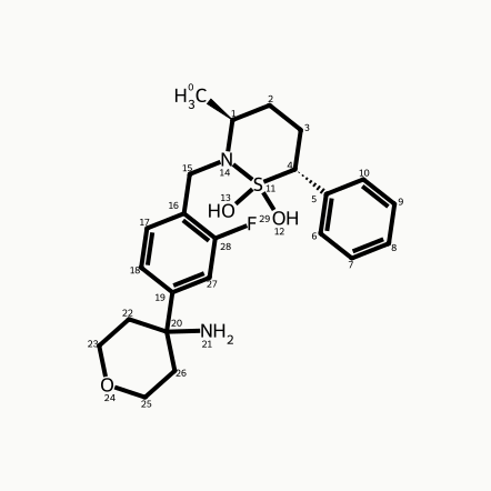 C[C@H]1CC[C@H](c2ccccc2)S(O)(O)N1Cc1ccc(C2(N)CCOCC2)cc1F